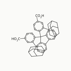 O=C(O)c1ccc(C2(c3ccc(C(=O)O)cc3C34CC5CC(CC(C5)C3)C4)c3ccccc3-c3ccccc32)c(C23CC4CC(CC(C4)C2)C3)c1